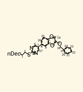 CCCCCCCCCCCCSc1ncc(-c2ccc(O[C@H](C)C(=O)OCc3ccccc3)cc2)cn1